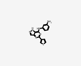 Nc1cccc(Nc2nc(-c3ccsc3)nc3cn[nH]c23)c1